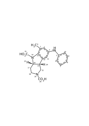 Cc1cc(Nc2ccccc2)cc2c1N(C(=O)O)[C@H]1CCN(C(=O)O)C[C@@H]21